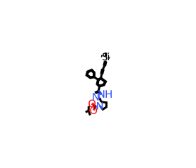 CC(C)(C)OC(=O)N1CCCC1c1ncc(-c2ccc(C#CC#C[Si](C)(C)C)c(-c3ccccc3)c2)[nH]1